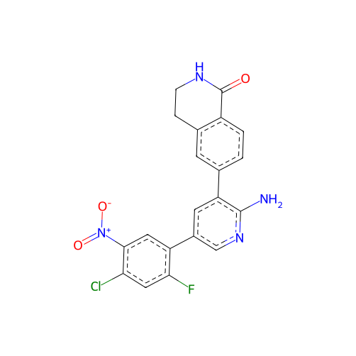 Nc1ncc(-c2cc([N+](=O)[O-])c(Cl)cc2F)cc1-c1ccc2c(c1)CCNC2=O